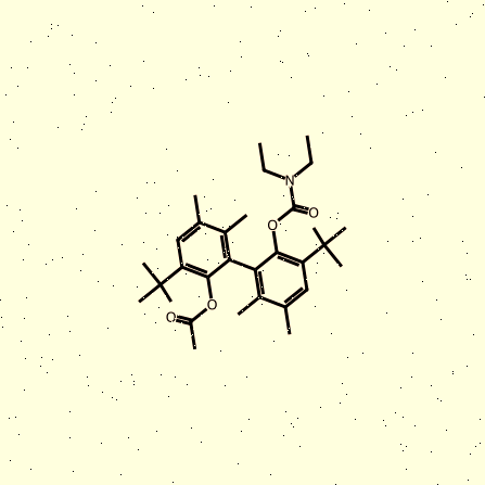 CCN(CC)C(=O)Oc1c(C(C)(C)C)cc(C)c(C)c1-c1c(C)c(C)cc(C(C)(C)C)c1OC(C)=O